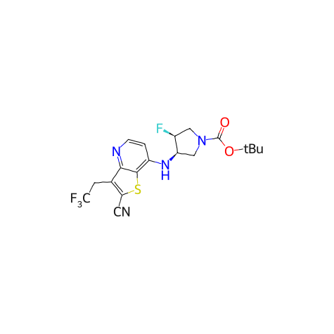 CC(C)(C)OC(=O)N1C[C@H](F)[C@H](Nc2ccnc3c(CC(F)(F)F)c(C#N)sc23)C1